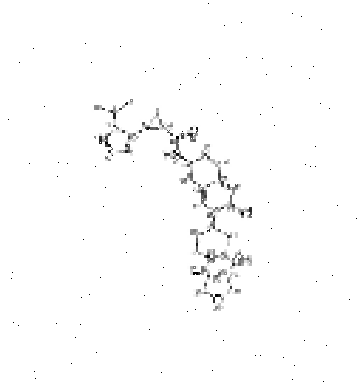 CC(C)n1nccc1C1CC1C(=O)Nc1cc2cc(C3CCN([C@@]4(C)COC[C@H]4O)CC3)c(Cl)cc2cn1